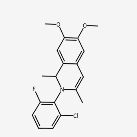 COc1cc2c(cc1OC)C(C)N(c1c(F)cccc1Cl)C(C)=C2